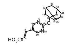 O=C(O)/C=C/c1cnc(OC23CC4CC(CC(C4)C2)C3)nc1